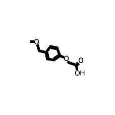 COCc1ccc(OCC(=O)O)cc1